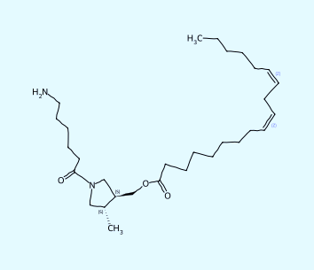 CCCCC/C=C\C/C=C\CCCCCCCC(=O)OC[C@@H]1CN(C(=O)CCCCCN)C[C@H]1C